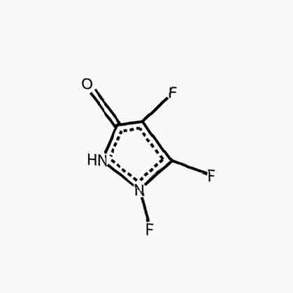 O=c1[nH]n(F)c(F)c1F